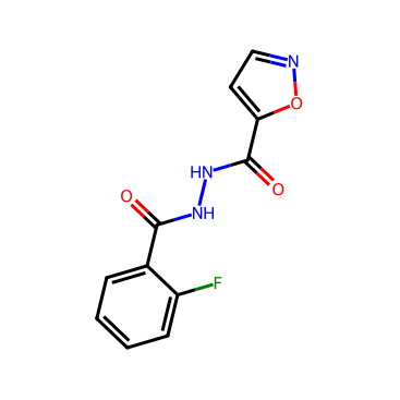 O=C(NNC(=O)c1ccccc1F)c1ccno1